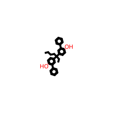 CCCCC(CC)(c1ccc(O)c(-c2ccccc2)c1)c1ccc(O)c(-c2ccccc2)c1